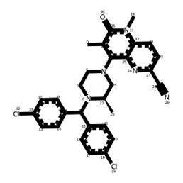 Cc1c(N2CCN(C(c3ccc(Cl)cc3)c3ccc(Cl)cc3)[C@H](C)C2)c2nc(C#N)ccc2n(C)c1=O